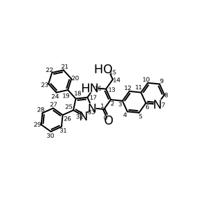 O=c1c(-c2ccc3ncccc3c2)c(CO)[nH]c2c(-c3ccccc3)c(-c3ccccc3)nn12